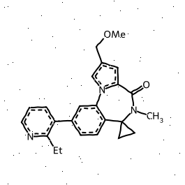 CCc1ncccc1-c1ccc2c(c1)-n1cc(COC)cc1C(=O)N(C)C21CC1